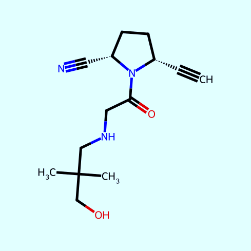 C#C[C@H]1CC[C@@H](C#N)N1C(=O)CNCC(C)(C)CO